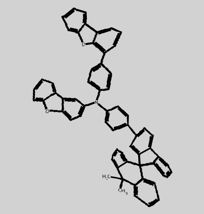 CC1(C)c2ccccc2C2(c3ccccc3-c3ccc(-c4ccc(N(c5ccc(-c6cccc7c6oc6ccccc67)cc5)c5ccc6oc7ccccc7c6c5)cc4)cc32)c2ccccc21